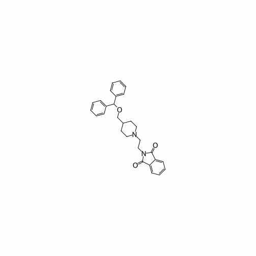 O=C1c2ccccc2C(=O)N1CCN1CCC(COC(c2ccccc2)c2ccccc2)CC1